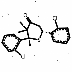 CC1(C)C(=O)C[C@H](c2ccccc2Cl)S[C@]1(C)c1ccccc1Cl